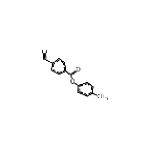 Cc1ccc(OC(=O)c2ccc(C=O)cc2)cc1